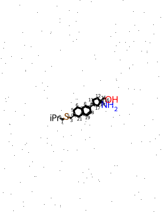 CC(C)CSC[C@H]1CCc2cc([C@H]3CC[C@](N)(CO)C3)ccc2C1